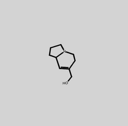 OCC1=CC2CCCN2CC1